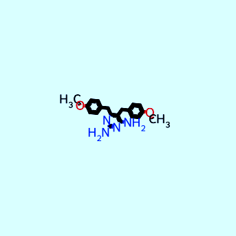 COc1ccc(Cc2nc(N)nc(N)c2Cc2ccc(OC)cc2)cc1